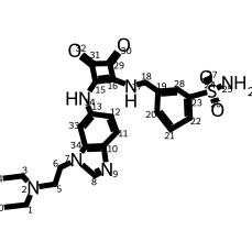 CCN(CC)CCn1cnc2ccc(Nc3c(NCc4cccc(S(N)(=O)=O)c4)c(=O)c3=O)cc21